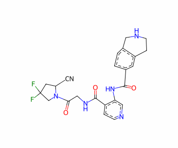 N#CC1CC(F)(F)CN1C(=O)CNC(=O)c1ccncc1NC(=O)c1ccc2c(c1)CCNC2